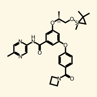 Cc1cnc(NC(=O)c2cc(Oc3ccc(C(=O)N4CCC4)cc3)cc(O[C@@H](C)CO[Si]3(C)CC3(C)C)c2)cn1